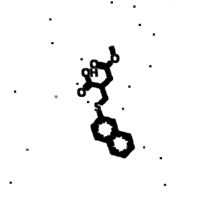 COC(=O)CC(CSc1ccc2ccccc2c1)C(=O)O